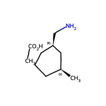 CC(=O)O.C[C@H]1CCC[C@@H](CN)C1